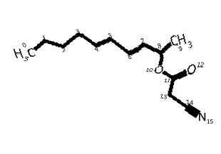 CCCCCCCCC(C)OC(=O)CC#N